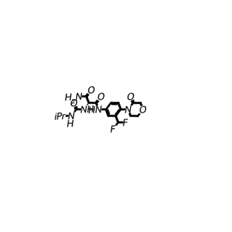 CC(C)NC(=O)N[C@H](C(N)=O)C(=O)Nc1ccc(N2CCOCC2=O)c(C(F)F)c1